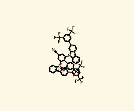 N#Cc1cc(-n2c3ccccc3c3ccc(-c4cc(C(F)(F)F)cc(C(F)(F)F)c4)cc32)c(-c2ccc(C(F)(F)F)cc2C(F)(F)F)c(-n2c3ccccc3c3ccc(-c4cc(C(F)(F)F)cc(C(F)(F)F)c4)cc32)c1